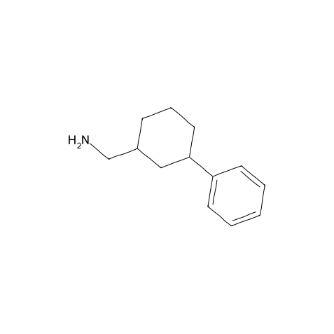 NCC1CCCC(c2ccccc2)C1